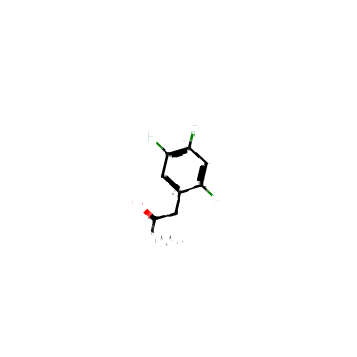 COC(=O)Cc1cc(F)c(Br)cc1F